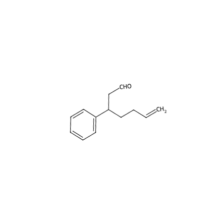 C=CCCC(CC=O)c1ccccc1